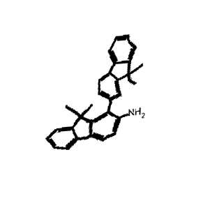 CC1(C)c2ccccc2-c2ccc(-c3c(N)ccc4c3C(C)(C)c3ccccc3-4)cc21